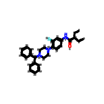 CCC(CC)C(=O)Nc1ccc(N2CCN(C(c3ccccc3)c3ccccc3)CC2)c(F)c1